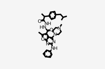 Cc1oc2nc(Nc3ccccc3)nc(N3CCN(C)CC3)c2c1C(=O)NNC(=O)C(C)c1ccc(CC(C)C)cc1